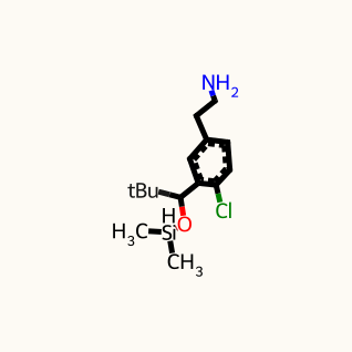 C[SiH](C)OC(c1cc(CCN)ccc1Cl)C(C)(C)C